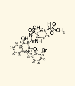 CS(=O)(=O)Nc1ccc2c(c1)P(=O)(O)N=C(c1c(O)c3ccccc3n(Cc3cccc(Br)c3)c1=O)N2